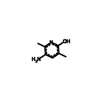 Cc1cc(N)c(C)nc1O